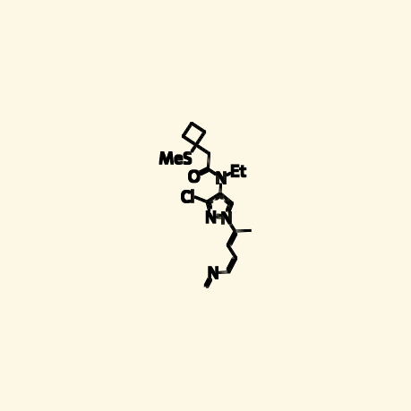 C=N/C=C\C=C(/C)n1cc(N(CC)C(=O)CC2(SC)CCC2)c(Cl)n1